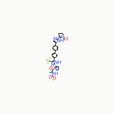 COC(=O)N[C@@H](C)C(=O)N1CCC[C@H]1c1nc(C(F)(F)F)c(-c2ccc(-c3ccc(-c4cnc([C@@H]5CCCN5[C]=O)[nH]4)cc3)cc2)[nH]1